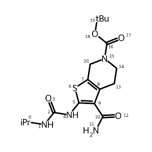 CC(C)NC(=O)Nc1sc2c(c1C(N)=O)CCN(C(=O)OC(C)(C)C)C2